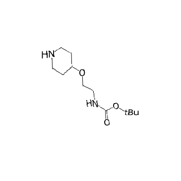 CC(C)(C)OC(=O)NCCOC1CCNCC1